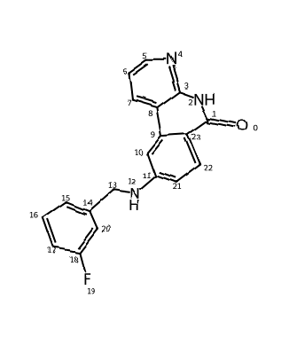 O=c1[nH]c2ncccc2c2cc(NCc3cccc(F)c3)ccc12